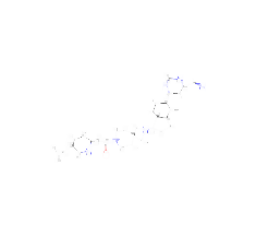 N#Cc1cc(-c2ccc3c(c2)CCC3N2CC3(CCN(C(=O)Cc4ccc(C5CC5)cn4)CC3)C2)ncn1